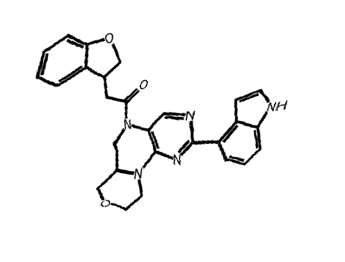 O=C(CC1COc2ccccc21)N1CC2COCCN2c2nc(-c3cccc4[nH]ccc34)ncc21